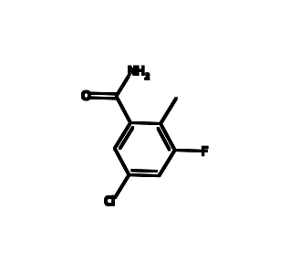 Cc1c(F)cc(Cl)cc1C(N)=O